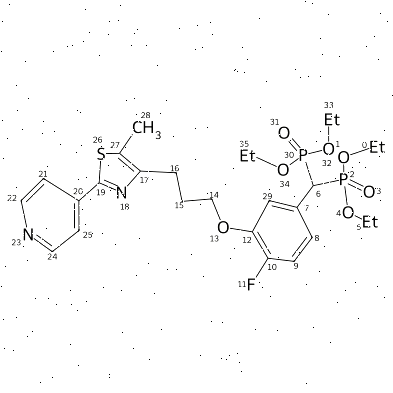 CCOP(=O)(OCC)C(c1ccc(F)c(OCCCc2nc(-c3ccncc3)sc2C)c1)P(=O)(OCC)OCC